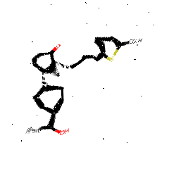 CCCCCC(O)c1ccc([C@@H]2CCC(=O)[C@@H]2CCCc2ccc(C(=O)O)s2)cc1